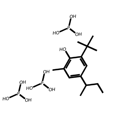 CCC(C)c1cc(C)c(O)c(C(C)(C)C)c1.OP(O)O.OP(O)O.OP(O)O